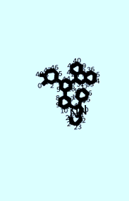 C=C1CC(c2cc(-c3cccc(-c4c(-c5ccccc5)nc5ccccn45)c3)cc(-c3cc4ccccc4c4ccccc34)c2)=CC=CC1C